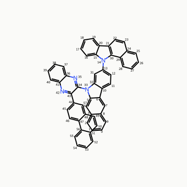 c1ccc2cc3c(cc2c1)c1ccc(-n2c4ccccc4c4ccc5ccccc5c42)cc1n3-c1nc2ccccc2nc1-c1ccc2c(ccc3ccccc32)c1